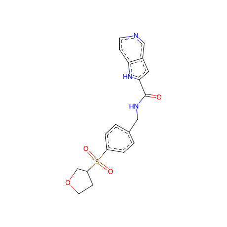 O=C(NCc1ccc(S(=O)(=O)C2CCOC2)cc1)c1cc2cnccc2[nH]1